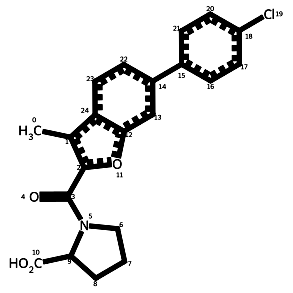 Cc1c(C(=O)N2CCCC2C(=O)O)oc2cc(-c3ccc(Cl)cc3)ccc12